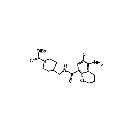 CC(C)COC(=O)N1CCC(CNC(=O)c2cc(Cl)c(N)c3c2OCCC3)CC1